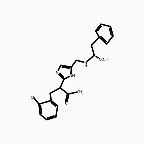 CC(=S)C(Cc1ccccc1Cl)c1ncc(CN[C@@H](Cc2ccccc2)C(=O)O)[nH]1